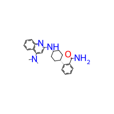 CN(C)c1cc(N[C@H]2CC[C@@H](c3ccccc3C(N)=O)CC2)nc2ccccc12